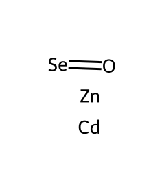 O=[Se].[Cd].[Zn]